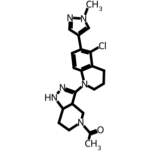 CC(=O)N1CCC2NN=C(N3CCCc4c3ccc(-c3cnn(C)c3)c4Cl)C2C1